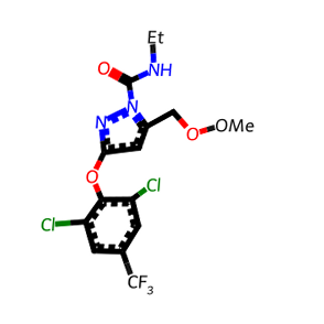 CCNC(=O)n1nc(Oc2c(Cl)cc(C(F)(F)F)cc2Cl)cc1COOC